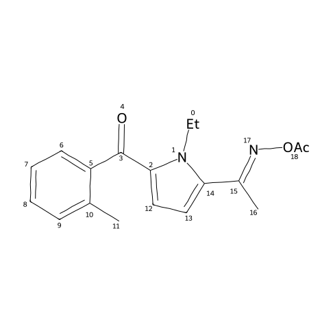 CCn1c(C(=O)c2ccccc2C)ccc1C(C)=NOC(C)=O